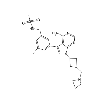 Cc1cc(CNS(C)(=O)=O)cc(-c2cn(C3CC(CN4CCC4)C3)c3ncnc(N)c23)c1